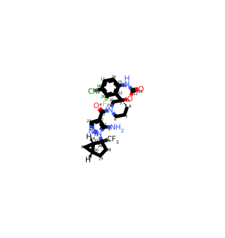 Nc1c(C(=O)N2CCC[C@@]3(C2)OC(=O)Nc2ccc(Cl)c(F)c23)cnn1C1(C(F)(F)F)CC[C@@H]2C[C@@H]21